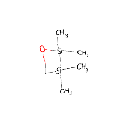 C[Si]1(C)CO[Si]1(C)C